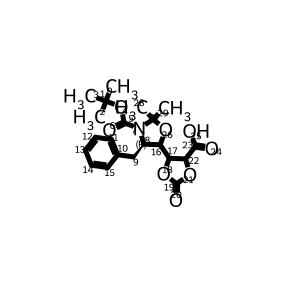 CC(C)(C)OC(=O)N1[C@H](Cc2ccccc2)C(C2OC(=O)OC2C(=O)O)OC1(C)C